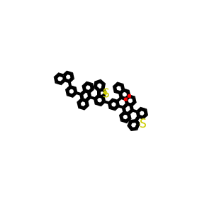 c1cc(-c2cccc3ccccc23)cc(-c2c3ccccc3c(-c3ccc(-c4ccc(-c5c6ccccc6c(-c6cccc7sc8ccccc8c67)c6ccccc56)c(-c5cccc6ccccc56)c4)c4sc5ccccc5c34)c3ccccc23)c1